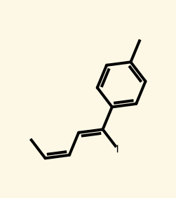 C/C=C\C=C(/I)c1ccc(C)cc1